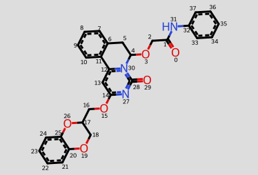 O=C(COC1Cc2ccccc2-c2cc(OCC3COc4ccccc4O3)nc(=O)n21)Nc1ccccc1